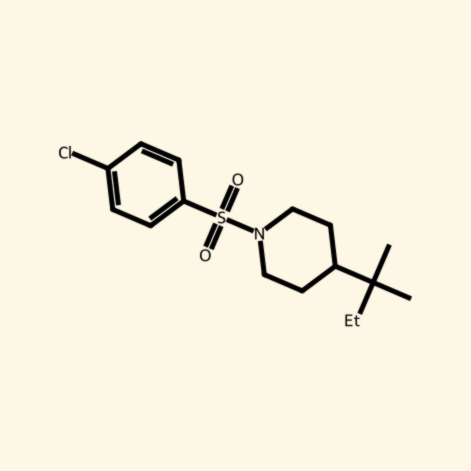 CCC(C)(C)C1CCN(S(=O)(=O)c2ccc(Cl)cc2)CC1